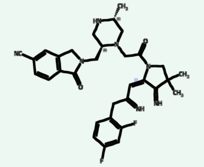 C[C@@H]1CN(CC(=O)N2CC(C)(C)C(=N)/C2=C\C(=N)Cc2ccc(F)cc2F)[C@@H](CN2Cc3cc(C#N)ccc3C2=O)CN1